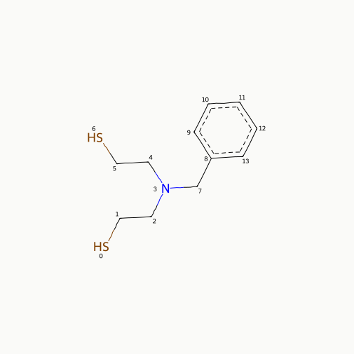 SCCN(CCS)Cc1ccccc1